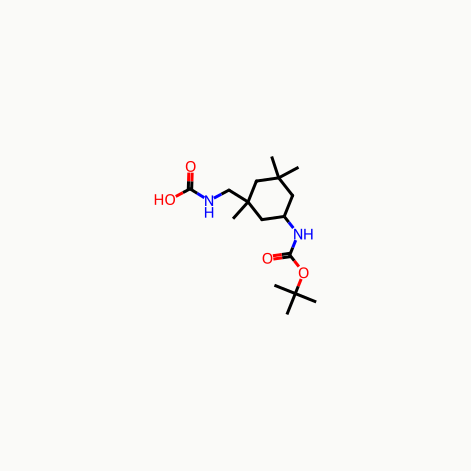 CC1(C)CC(NC(=O)OC(C)(C)C)CC(C)(CNC(=O)O)C1